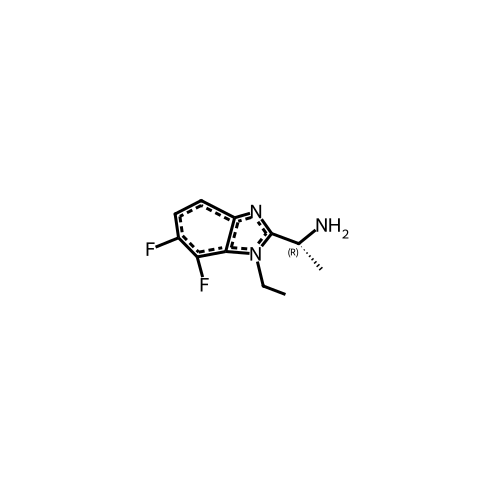 CCn1c([C@@H](C)N)nc2ccc(F)c(F)c21